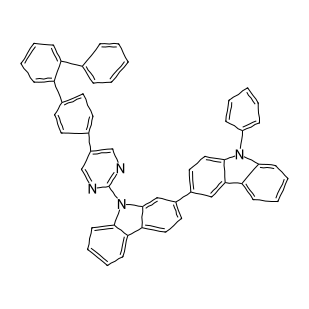 c1ccc(-c2ccccc2-c2ccc(-c3cnc(-n4c5ccccc5c5ccc(-c6ccc7c(c6)c6ccccc6n7-c6ccccc6)cc54)nc3)cc2)cc1